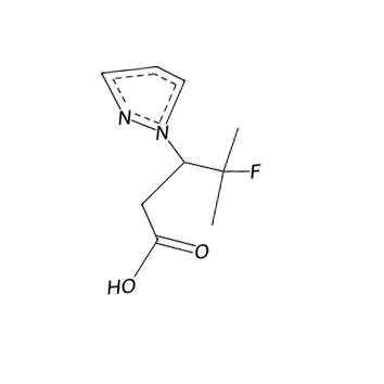 CC(C)(F)C(CC(=O)O)n1cccn1